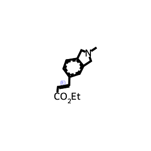 CCOC(=O)/C=C/c1ccc2c(c1)CN(C)C2